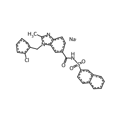 Cc1nc2ccc(C(=O)NS(=O)(=O)c3ccc4ccccc4c3)cc2n1Cc1ccccc1Cl.[Na]